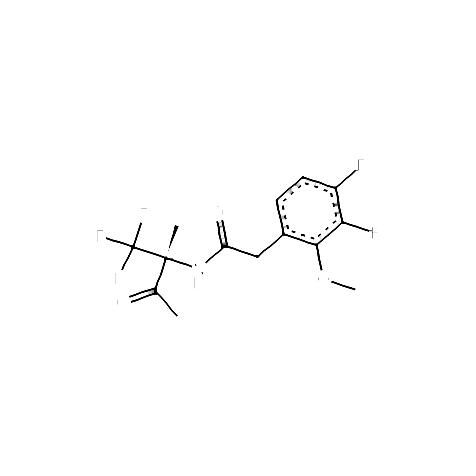 COc1c(CC(=O)N[C@](C)(C(C)=O)C(F)(F)F)ccc(F)c1F